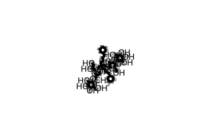 C[C@H](O[C@H]1OC(CO)[C@@H](O)[C@H](O)C1O)C(CO)O[C@@H](OCC(CCCCC1CCCCC1)(CCCCC1CCCCC1)CO[C@@H]1OC(CO)[C@@H](O[C@@H]2OC(CO)[C@@H](O)[C@H](O)C2O)[C@H](O)C1O)[C@@H](O)CO